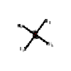 CCCCCCCCCCCCCCCCCC(=O)OCC(COC(=O)CCCCCCCCCCCCCCCCC)(CC(CCCCCCCCCCCCCCCC)C(=O)O)CC(CCCCCCCCCCCCCCCC)C(=O)O